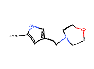 O=Cc1cc(CN2CCOCC2)c[nH]1